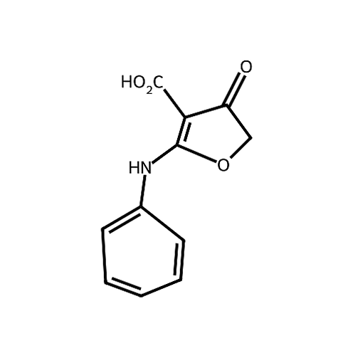 O=C(O)C1=C(Nc2ccccc2)OCC1=O